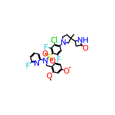 COc1ccc(CN(c2cccc(F)n2)S(=O)(=O)c2c(F)cc(N3CCC(C)(C4CC(=O)N4)C3)c(Cl)c2F)c(OC)c1